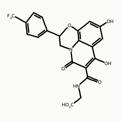 O=C(O)CNC(=O)c1c(O)c2cc(O)cc3c2n(c1=O)CC(c1ccc(C(F)(F)F)cc1)O3